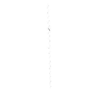 CCCCCCCCCCC=CCCCCCCCCCCCCCCCCCCCCCCC